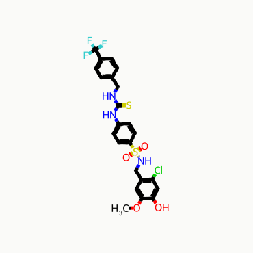 COc1cc(CNS(=O)(=O)c2ccc(NC(=S)NCc3ccc(C(F)(F)F)cc3)cc2)c(Cl)cc1O